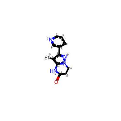 CCc1c(-c2cccnc2)nn2c1NC(=O)CC2